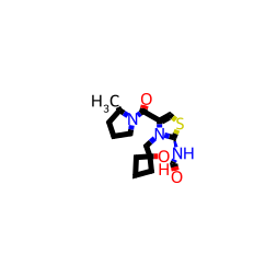 CC1CCCN1C(=O)C1=CS[C@@H](NC=O)N1CC1(O)CCC1